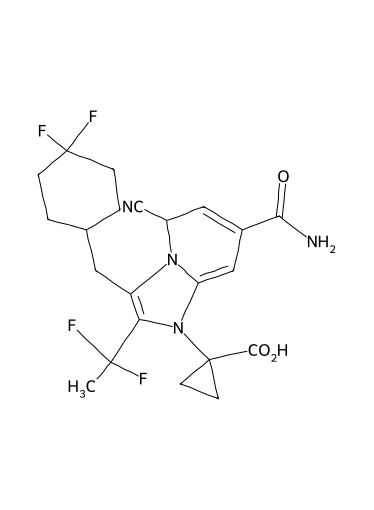 CC(F)(F)C1=C(CC2CCC(F)(F)CC2)N2C(=CC(C(N)=O)=CC2C#N)N1C1(C(=O)O)CC1